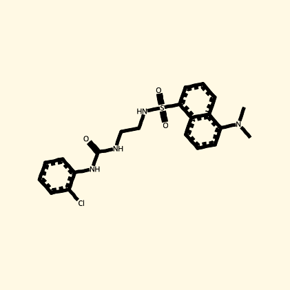 CN(C)c1cccc2c(S(=O)(=O)NCCNC(=O)Nc3ccccc3Cl)cccc12